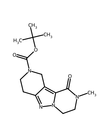 CN1CCn2nc3c(c2C1=O)CN(C(=O)OC(C)(C)C)CC3